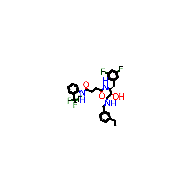 CCc1cccc(CNC[C@@H](O)[C@H](Cc2cc(F)cc(F)c2)NC(=O)CCC(=O)Nc2ccccc2C(F)(F)F)c1